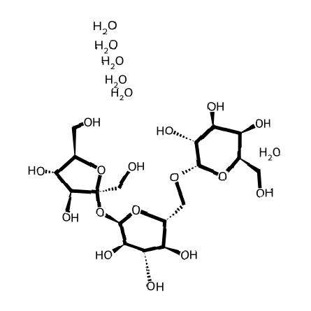 O.O.O.O.O.O.OC[C@H]1O[C@H](OC[C@H]2O[C@H](O[C@]3(CO)O[C@H](CO)[C@@H](O)[C@@H]3O)[C@H](O)[C@@H](O)[C@@H]2O)[C@H](O)[C@@H](O)[C@H]1O